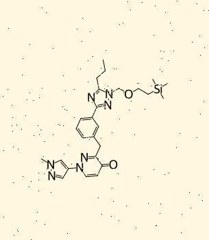 CCCc1nc(-c2cccc(Cc3nn(-c4cnn(C)c4)ccc3=O)c2)nn1COCC[Si](C)(C)C